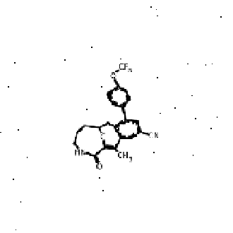 CC1=C2CC(CCCNC2=O)Cc2c1cc(C#N)cc2-c1ccc(OC(F)(F)F)cc1